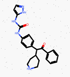 O=C(Nc1ccc(C(C(=O)c2ccccc2)C2CCNCC2)cc1)Nc1ccn[nH]1